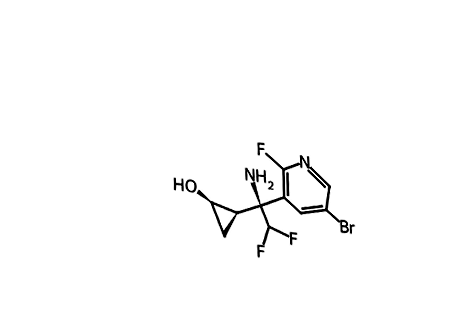 N[C@@](c1cc(Br)cnc1F)(C(F)F)[C@H]1C[C@H]1O